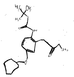 CCC(=O)Cc1cc(OC2CCCC2)ccc1NC(=O)OC(C)(C)C